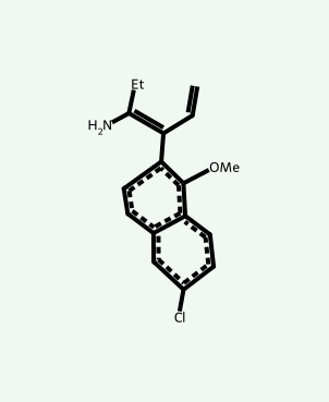 C=C/C(=C(/N)CC)c1ccc2cc(Cl)ccc2c1OC